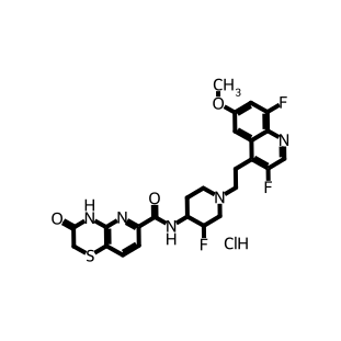 COc1cc(F)c2ncc(F)c(CCN3CCC(NC(=O)c4ccc5c(n4)NC(=O)CS5)C(F)C3)c2c1.Cl